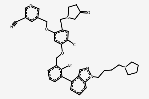 N#Cc1cncc(COc2cc(OCc3cccc(-c4cccc5c4cnn5CCCCN4CCCC4)c3Br)c(Cl)cc2CN2CCC(=O)C2)c1